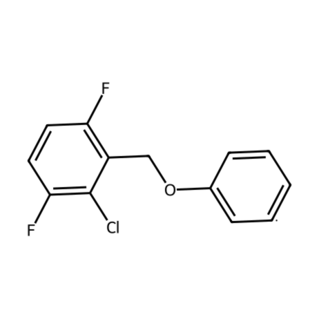 Fc1ccc(F)c(COc2c[c]ccc2)c1Cl